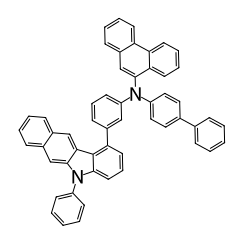 c1ccc(-c2ccc(N(c3cccc(-c4cccc5c4c4cc6ccccc6cc4n5-c4ccccc4)c3)c3cc4ccccc4c4ccccc34)cc2)cc1